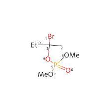 CCC(C)(Br)OP(=O)(OC)OC